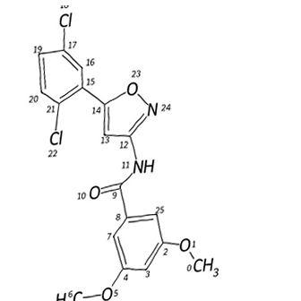 COc1cc(OC)cc(C(=O)Nc2cc(-c3cc(Cl)ccc3Cl)on2)c1